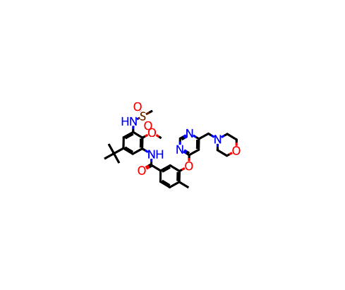 COc1c(NC(=O)c2ccc(C)c(Oc3cc(CN4CCOCC4)ncn3)c2)cc(C(C)(C)C)cc1NS(C)(=O)=O